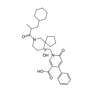 CC(CC1CCCCC1)C(=O)N1CC[C@](O)(Cn2cc(C(=O)O)c(-c3ccccc3)cc2=O)C2(CCCC2)C1